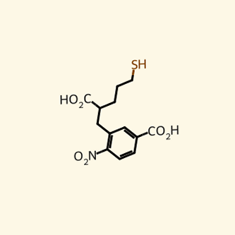 O=C(O)c1ccc([N+](=O)[O-])c(CC(CCCS)C(=O)O)c1